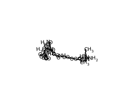 CCCCCNc1nc(N)nc2ccn(Cc3ccc(COCCOCCOCCOCCNC(=O)OCc4ccc(NC(=O)[C@H](CCCNC(N)=O)NC(=O)[C@@H](NC(=O)[C@H](CCC(=O)O)NC(=O)CN5C(=O)C=CC5=O)C(C)C)cc4)cc3OC)c12